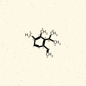 C=Cc1ccc(C)c(C)c1C(C)C